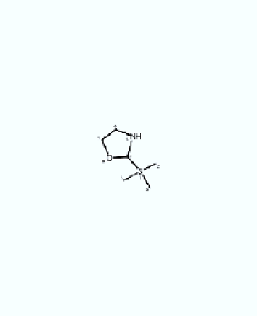 CS(C)(C)C1NCCO1